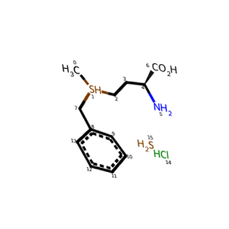 C[SH](CC[C@H](N)C(=O)O)Cc1ccccc1.Cl.S